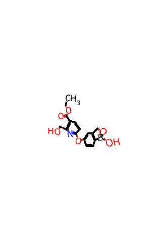 CCOC(=O)c1ccc(Oc2ccc3c(c2)COB3O)nc1CO